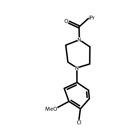 COc1cc(N2CCN(C(=O)C(C)C)CC2)ccc1Cl